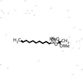 C=CCCCCCCCC[SiH2]OC(C)(OC)OC